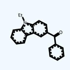 CCn1c2ccccc2c2cc(C(=O)c3ccccc3)ccc21